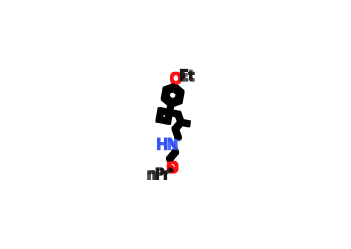 CCCOCCNCCC(C)CC1(c2ccc(OCC)cc2)CCC1